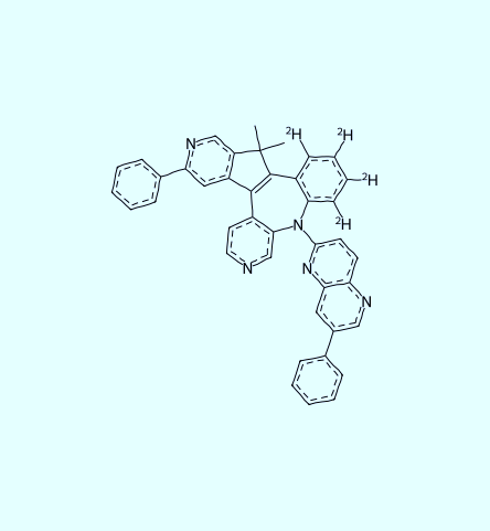 [2H]c1c([2H])c([2H])c2c(c1[2H])C1=C(c3ccncc3N2c2ccc3ncc(-c4ccccc4)cc3n2)c2cc(-c3ccccc3)ncc2C1(C)C